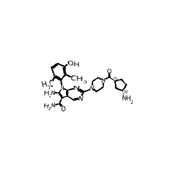 Cc1ccc(O)c(C)c1-n1c(N)c(C(N)=O)c2cnc(N3CCN(C(=O)[C@H]4CC[C@H](N)C4)CC3)nc21